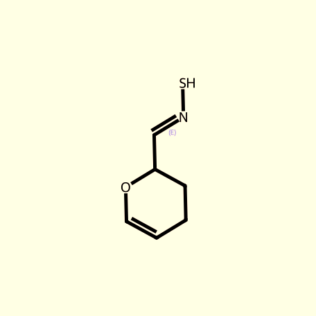 S/N=C/C1CCC=CO1